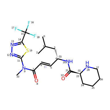 CC(C)C[C@@H](/C=C/C(=O)N(C)c1nnc(C(F)(F)F)s1)NC(=O)[C@@H]1CCCCN1